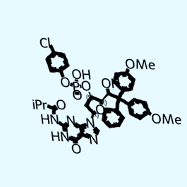 COc1ccc(C(c2ccccc2)(c2ccc(OC)cc2)C(O)[C@H]2O[C@@H](n3cnc4c(=O)[nH]c(NC(=O)C(C)C)nc43)C[C@@H]2OP(=O)(O)Oc2ccc(Cl)cc2)cc1